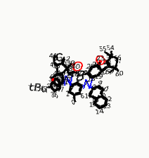 Cc1cc2c3c(c1)N(c1ccc4ccccc4c1)c1cc4c5c(oc4cc1B3C1=C(N2c2ccc(C(C)(C)C)cc2)C2(CO1)c1ccccc1-c1ccccc12)C(C)(C)CCC5(C)C